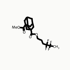 COC(=O)C12CC3CC(C1)CC(C(=O)OCCCC(F)(F)C(C)(F)F)(C3)C2